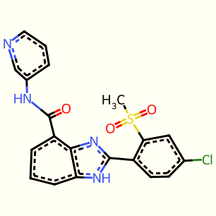 CS(=O)(=O)c1cc(Cl)ccc1-c1nc2c(C(=O)Nc3cccnc3)cccc2[nH]1